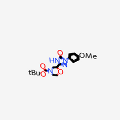 COc1ccc(-n2nc(C3CN(C(=O)OC(C)(C)C)CCO3)[nH]c2=O)cc1